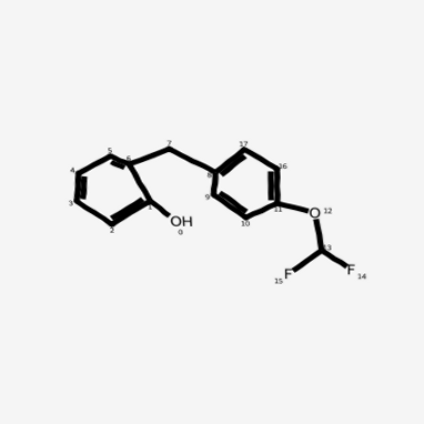 Oc1ccccc1Cc1ccc(OC(F)F)cc1